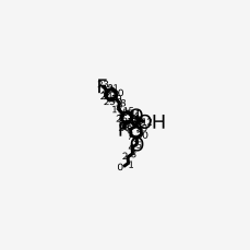 CCCCCOC1CCC(C(=O)O)(c2ccc(CCc3ccc(F)cc3)cc2F)CC1